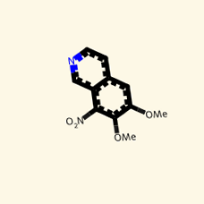 COc1cc2ccncc2c([N+](=O)[O-])c1OC